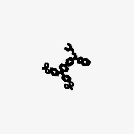 CC(=O)Oc1ccc(C(=C2CCCCC2)c2ccc(OC(C)=O)cc2)cc1.CCN(CC)CCCN(c1ccccc1)C1Cc2ccccc2C1